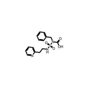 O=C(O)N(Cc1ccccc1)S(=O)(=O)NCCc1ccccn1